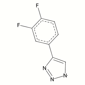 Fc1ccc(C2=C[N]N=N2)cc1F